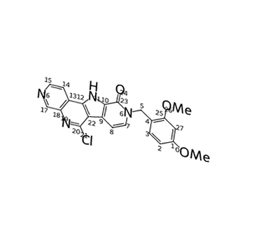 COc1ccc(Cn2ccc3c([nH]c4c5ccncc5nc(Cl)c34)c2=O)c(OC)c1